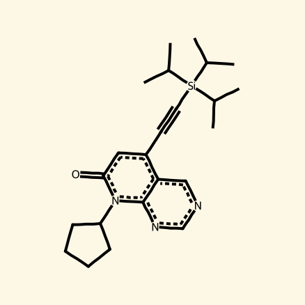 CC(C)[Si](C#Cc1cc(=O)n(C2CCCC2)c2ncncc12)(C(C)C)C(C)C